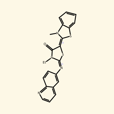 CCN1C(=O)/C(=C2/Sc3ccccc3N2C)S/C1=N/c1ccc2ncccc2c1